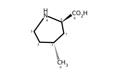 C[C@@H]1CCN[C@@H](C(=O)O)C1